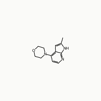 Cc1cc2c(N3CCOCC3)ccnc2[nH]1